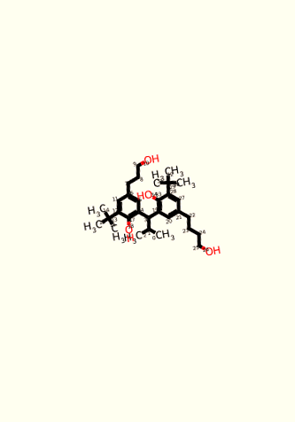 CC(C)C(c1cc(CCCO)cc(C(C)(C)C)c1O)c1cc(CCCCO)cc(C(C)(C)C)c1O